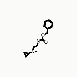 O=C(NCCNC1CC1)OCc1ccccc1